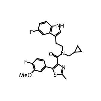 COc1cc(-c2sc(C)nc2C(=O)N(CCc2c[nH]c3ccc(F)cc23)CC2CC2)ccc1F